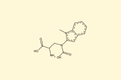 Cn1c(N(CC(N)C(=O)O)C(=O)O)cc2ccccc21